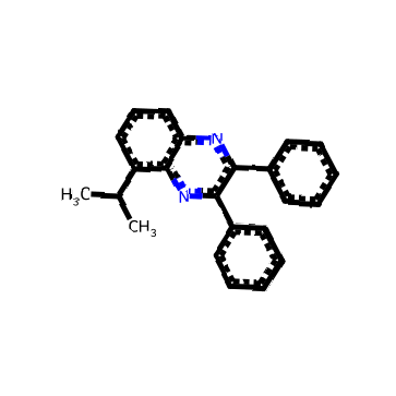 CC(C)c1cccc2nc(-c3ccccc3)c(-c3ccccc3)nc12